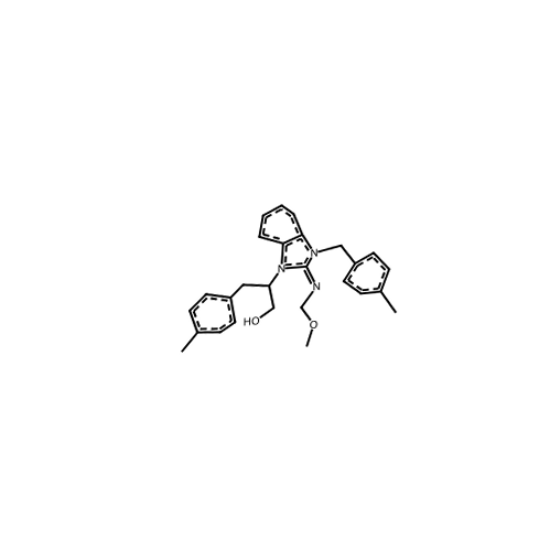 COCN=c1n(Cc2ccc(C)cc2)c2ccccc2n1C(CO)Cc1ccc(C)cc1